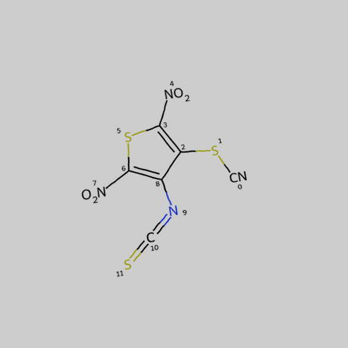 N#CSc1c([N+](=O)[O-])sc([N+](=O)[O-])c1N=C=S